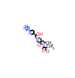 CC1=C(N2C(=O)C3(CCN(C[C@H](O)c4ccc(-n5cnnn5)nc4)CC3)CC2C)COC1=O